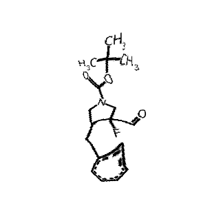 CC(C)(C)OC(=O)N1CC(Cc2ccccc2)C(F)(C=O)C1